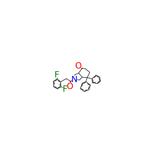 O=C1CCC(c2ccccc2)(c2ccccc2)C2CN(C(=O)Cc3c(F)cccc3F)CC12